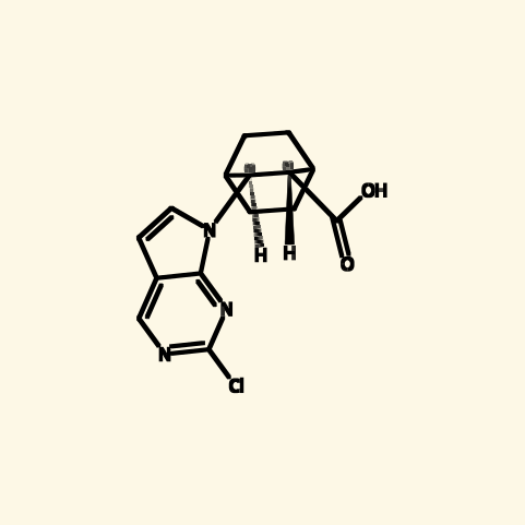 O=C(O)[C@H]1C2CCC(CC2)[C@@H]1n1ccc2cnc(Cl)nc21